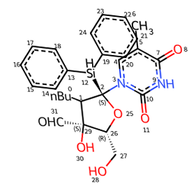 CCCCC1[C@@](n2cc(C)c(=O)[nH]c2=O)([SiH](c2ccccc2)c2ccccc2)O[C@H](CO)[C@]1(O)C=O